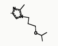 Cc1n[c]cn1CCCOC(C)C